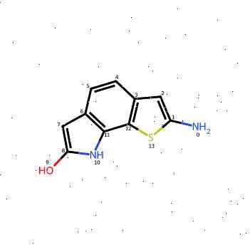 Nc1cc2ccc3cc(O)[nH]c3c2s1